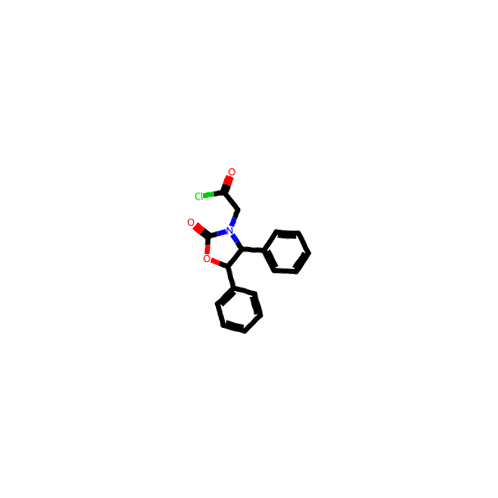 O=C(Cl)CN1C(=O)OC(c2ccccc2)C1c1ccccc1